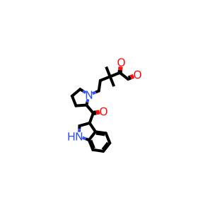 CC(C)(CCN1CCCC1C(=O)C1CNc2ccccc21)C(=O)C=O